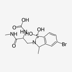 CNC(=O)C(CN1C(C)c2cc(Br)ccc2S1(O)O)NC(=O)O